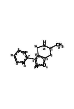 CC1Cc2onc(-c3ncccn3)c2CN1